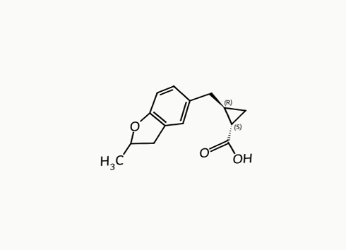 CC1Cc2cc(C[C@H]3C[C@@H]3C(=O)O)ccc2O1